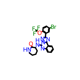 O=C1NCCCC[C@@H]1Nc1nc2ccccc2c2nc(-c3cc(Br)ccc3OC(F)(F)F)nn12